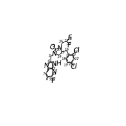 O=C1N(Cc2nc3ccc(F)nc3[nH]2)CC(Cc2ccc(Cl)cc2Cl)N1CC(F)F